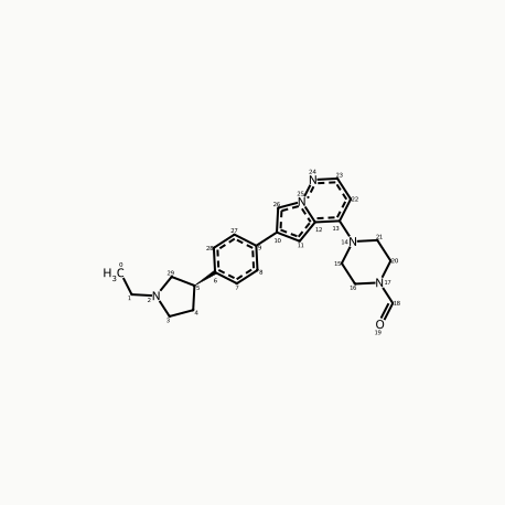 CCN1CC[C@H](c2ccc(-c3cc4c(N5CCN(C=O)CC5)ccnn4c3)cc2)C1